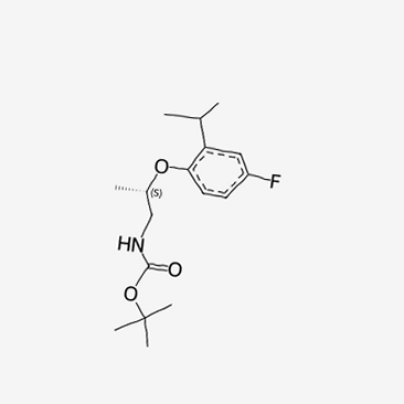 CC(C)c1cc(F)ccc1O[C@@H](C)CNC(=O)OC(C)(C)C